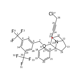 FC(F)(F)c1cc(COC2CCC3CCC2(c2ccccc2)N3CC#CCCl)cc(C(F)(F)F)c1